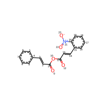 O=C(C=Cc1ccccc1)OC(=O)C=Cc1ccccc1[N+](=O)[O-]